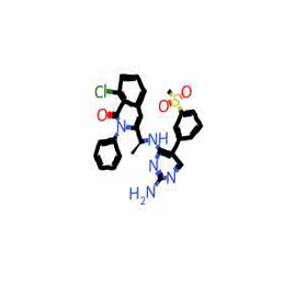 C[C@H](Nc1nc(N)ncc1-c1cccc(S(C)(=O)=O)c1)c1cc2cccc(Cl)c2c(=O)n1-c1ccccc1